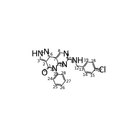 O=c1c2c[nH]nc2c2cnc(NCc3ccc(Cl)cc3)nc2n1-c1ccccc1